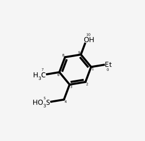 CCc1cc(CS(=O)(=O)O)c(C)cc1O